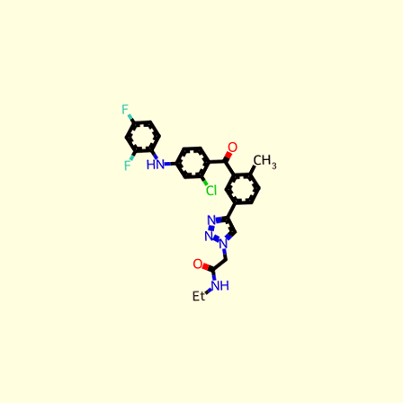 CCNC(=O)Cn1cc(-c2ccc(C)c(C(=O)c3ccc(Nc4ccc(F)cc4F)cc3Cl)c2)nn1